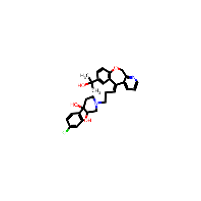 CC(C)(O)c1ccc2c(c1)C(=CCCN1CCC(O)(c3ccc(Cl)cc3)C(O)C1)c1cccnc1CO2